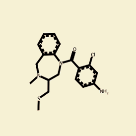 CSCC1CN(C(=O)c2ccc(N)cc2Cl)c2ccccc2CN1C